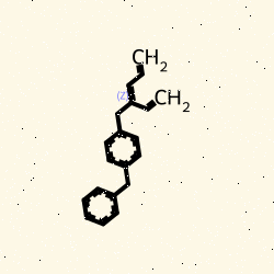 C=C/C=C(\C=C)Cc1ccc(Cc2ccccc2)cc1